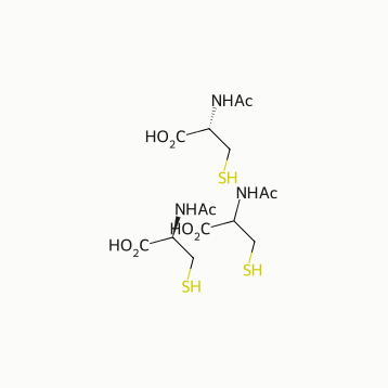 CC(=O)NC(CS)C(=O)O.CC(=O)N[C@@H](CS)C(=O)O.CC(=O)N[C@H](CS)C(=O)O